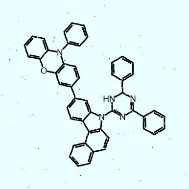 c1ccc(C2=NC(c3ccccc3)NC(n3c4cc(-c5ccc6c(c5)Oc5ccccc5N6c5ccccc5)ccc4c4c5ccccc5ccc43)=N2)cc1